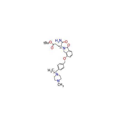 C[C@H](c1ccc(COc2cccc3c2CN([C@@H](CCC(=O)OC(C)(C)C)C(N)=O)C3=O)cc1)N1CCN(C)CC1